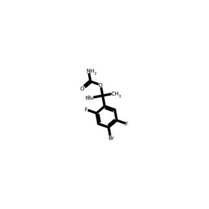 CC(C)(C)C(C)(OC(N)=O)c1cc(F)c(Br)cc1F